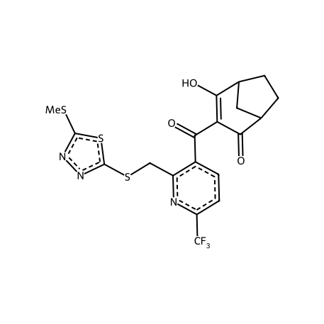 CSc1nnc(SCc2nc(C(F)(F)F)ccc2C(=O)C2=C(O)C3CCC(C3)C2=O)s1